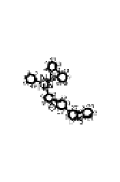 c1ccc(-c2nc(-c3ccc4oc5cc(-c6ccc7sc8ccccc8c7c6)ccc5c4c3)nc(-n3c4ccccc4c4ccccc43)n2)cc1